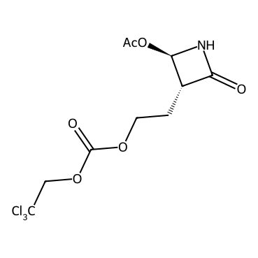 CC(=O)O[C@H]1NC(=O)[C@@H]1CCOC(=O)OCC(Cl)(Cl)Cl